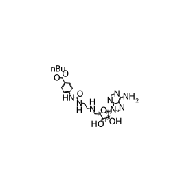 CCCCOC(=O)c1ccc(NC(=O)NCCNC[C@H]2O[C@@H](n3cnc4c(N)ncnc43)[C@H](O)[C@@H]2O)cc1